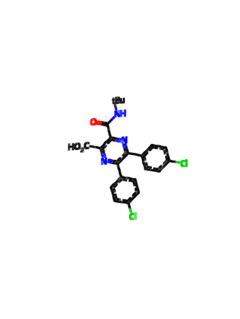 CC(C)(C)NC(=O)c1nc(-c2ccc(Cl)cc2)c(-c2ccc(Cl)cc2)nc1C(=O)O